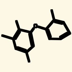 Cc1cc(C)c(C)c(Oc2ccccc2C)c1